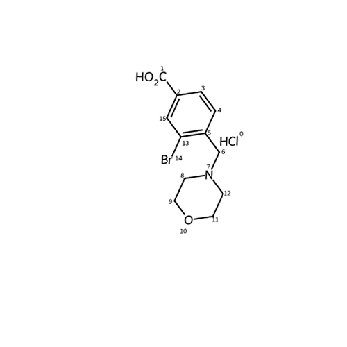 Cl.O=C(O)c1ccc(CN2CCOCC2)c(Br)c1